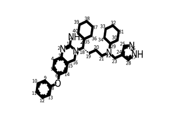 NC1=Nc2ccc(Oc3ccccc3)cc2CN1[C@@H](CCCN(Cc1cn[nH]c1)C1CCCCC1)C1CCCCC1